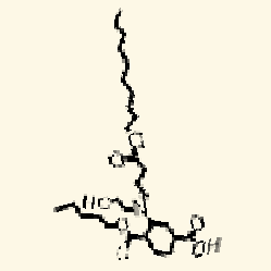 CCCCCCCCCCOC(=O)CCCN(CCO)C1CC(C(=O)O)CCC1C(=O)OCCCCC